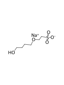 O=S(=O)([O-])CCOCCCCO.[Na+]